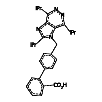 CC(C)c1nnc(C(C)C)c2c1nc(C(C)C)n2Cc1ccc(-c2ccccc2C(=O)O)cc1